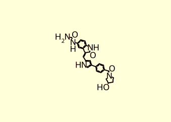 NC(=O)Nc1ccc2c(c1)C(=Cc1cc(-c3ccc(C(=O)N4CCC(O)C4)cc3)c[nH]1)C(=O)N2